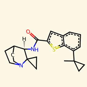 CC1(c2cccc3cc(C(=O)N[C@@H]4C5CCN(CC5)C45CC5)sc23)CC1